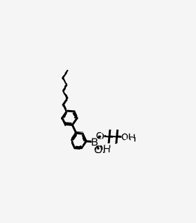 CCCCCCc1ccc(-c2cccc(B(O)OC(C)(C)C(C)(C)O)c2)cc1